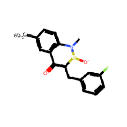 CN1c2ccc(C(=O)O)cc2C(=O)C(Cc2cccc(F)c2)[S+]1[O-]